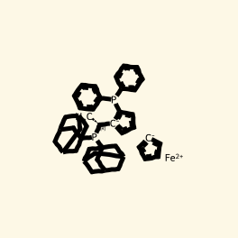 C[C@H]([c-]1cccc1P(c1ccccc1)c1ccccc1)P(C12CC3CC(CC(C3)C1)C2)C12CC3CC(CC(C3)C1)C2.[Fe+2].c1cc[cH-]c1